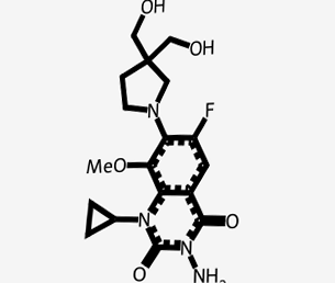 COc1c(N2CCC(CO)(CO)C2)c(F)cc2c(=O)n(N)c(=O)n(C3CC3)c12